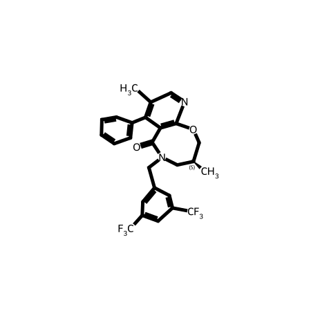 Cc1cnc2c(c1-c1ccccc1)C(=O)N(Cc1cc(C(F)(F)F)cc(C(F)(F)F)c1)C[C@H](C)CO2